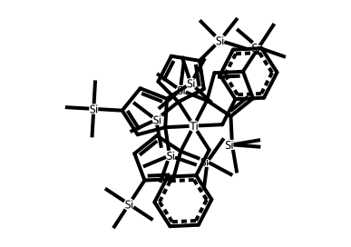 C[Si](C)(C)C1=C[C]([Si](C)(C)C)([Ti]([CH2]c2ccccc2)([CH2]c2ccccc2)([C]2([Si](C)(C)C)C=CC([Si](C)(C)C)=C2)([C]2([Si](C)(C)C)C=C([Si](C)(C)C)C=C2[Si](C)(C)C)[C]2([Si](C)(C)C)C=C([Si](C)(C)C)C=C2[Si](C)(C)C)C=C1